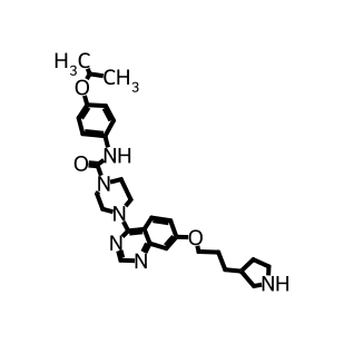 CC(C)Oc1ccc(NC(=O)N2CCN(c3ncnc4cc(OCCCC5CCNC5)ccc34)CC2)cc1